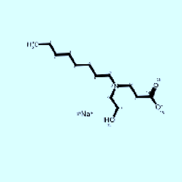 CCCCCCCCN(CCO)CCC(=O)[O-].[Na+]